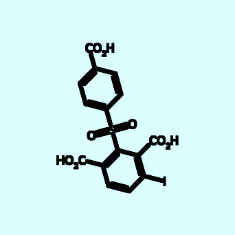 O=C(O)c1ccc(S(=O)(=O)c2c(C(=O)O)ccc(I)c2C(=O)O)cc1